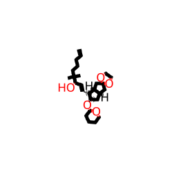 C=CCCCC(C)(C)C(O)C=C[C@@H]1[C@@H]2CC3(C[C@@H]2C[C@H]1OC1CCCCO1)OCCO3